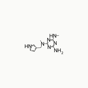 CNc1nc(N)nc(N(C)Cc2cc[nH]c2)n1